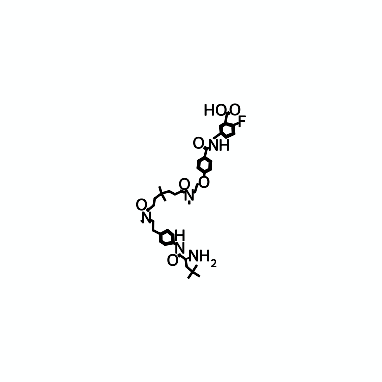 CN(CCOc1ccc(C(=O)NCc2ccc(F)c(C(=O)O)c2)cc1)C(=O)CCC(C)(C)CCC(=O)N(C)CCc1ccc(NC(=O)[C@@H](N)CC(C)(C)C)cc1